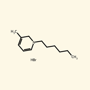 Br.CCCCCCN1C=CC=C(C)C1